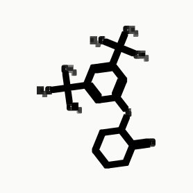 CC(C)(C)c1cc(SC2CCCCC2=O)cc(C(C)(C)C)c1